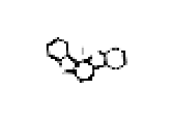 C1=CCC2=c3c(ccc4c5c([nH]c34)CC=CC5)=NC2=C1